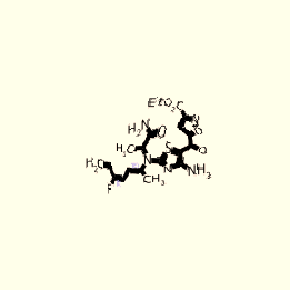 C=C/C(F)=C\C=C(/C)N(c1nc(N)c(C(=O)c2cc(C(=O)OCC)no2)s1)C(C)C(N)=O